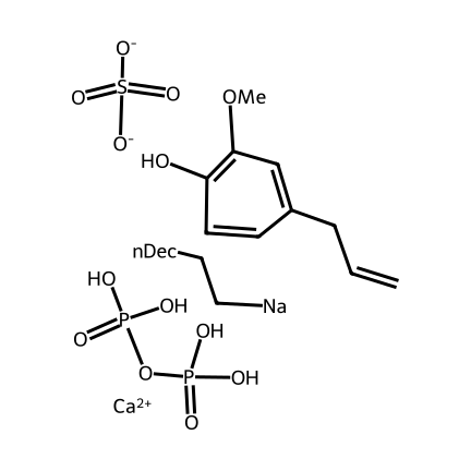 C=CCc1ccc(O)c(OC)c1.CCCCCCCCCCC[CH2][Na].O=P(O)(O)OP(=O)(O)O.O=S(=O)([O-])[O-].[Ca+2]